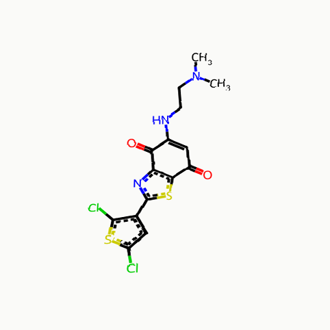 CN(C)CCNC1=CC(=O)c2sc(-c3cc(Cl)sc3Cl)nc2C1=O